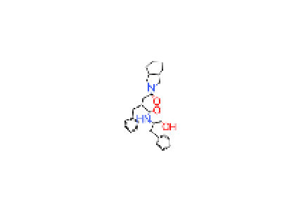 O=C(N[C@@H](CO)Cc1ccccc1)[C@H](CC(=O)N1CC2CCCCC2C1)Cc1ccccc1